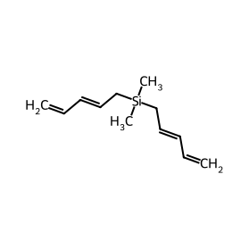 C=CC=CC[Si](C)(C)CC=CC=C